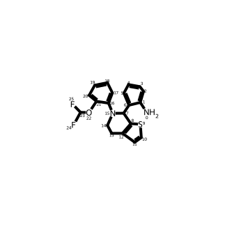 Nc1ccccc1C1c2sccc2CCN1c1ccccc1OC(F)F